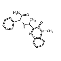 CC(N[C@@H](C(N)=O)c1ccccc1)c1nc2ccccc2n(C)c1=O